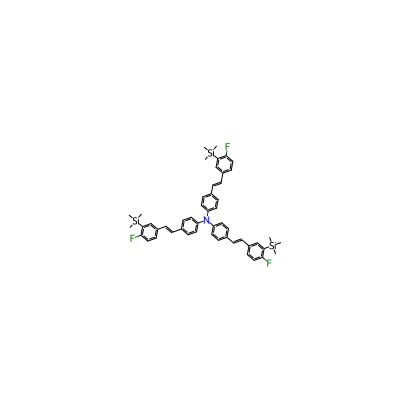 C[Si](C)(C)c1cc(/C=C/c2ccc(N(c3ccc(/C=C/c4ccc(F)c([Si](C)(C)C)c4)cc3)c3ccc(/C=C/c4ccc(F)c([Si](C)(C)C)c4)cc3)cc2)ccc1F